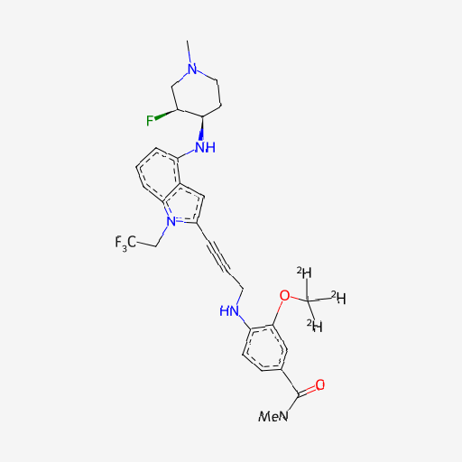 [2H]C([2H])([2H])Oc1cc(C(=O)NC)ccc1NCC#Cc1cc2c(N[C@@H]3CCN(C)C[C@@H]3F)cccc2n1CC(F)(F)F